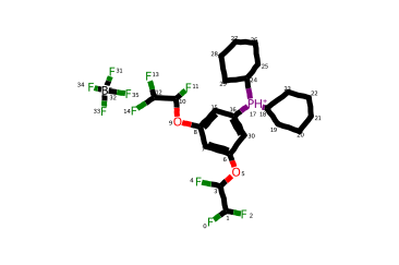 FC(F)C(F)Oc1cc(OC(F)C(F)F)cc([PH+](C2CCCCC2)C2CCCCC2)c1.F[B-](F)(F)F